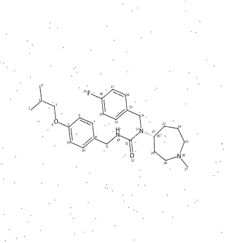 CC(C)COc1ccc(CNC(=O)N(Cc2ccc(F)cc2)[C@@H]2CCCN(C)CC2)cc1